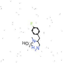 CN(C(=O)O)C(CN)Cc1ccc(F)cc1